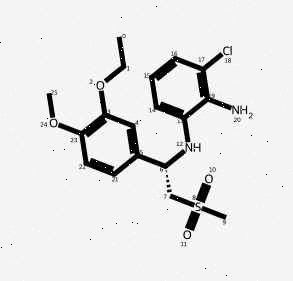 CCOc1cc([C@@H](CS(C)(=O)=O)Nc2cccc(Cl)c2N)ccc1OC